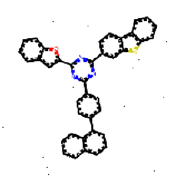 c1ccc2oc(-c3nc(-c4ccc(-c5cccc6ccccc56)cc4)nc(-c4ccc5c(c4)sc4ccccc45)n3)cc2c1